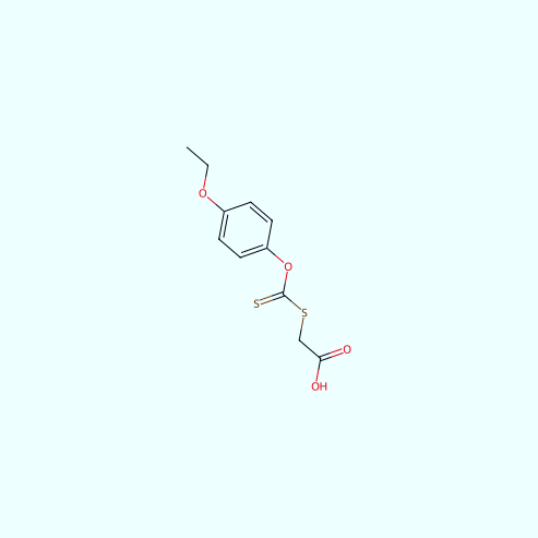 CCOc1ccc(OC(=S)SCC(=O)O)cc1